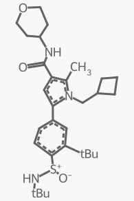 Cc1c(C(=O)NC2CCOCC2)cc(-c2ccc([S+]([O-])NC(C)(C)C)c(C(C)(C)C)c2)n1CC1CCC1